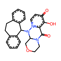 O=C1c2c(O)c(=O)ccn2N(C2c3ccccc3CCc3ccccc32)C2COCCN12